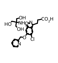 NC(CO)(CO)CO.O=C(O)CCc1noc2cc(OCc3ccccn3)c(Cl)cc12